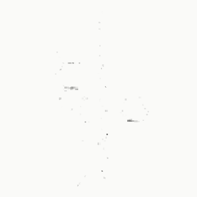 CC(C)(C)OC(=O)Nc1ccc2c(c1)C(c1ccccc1)N(CCCCCCN)c1cc(NC(=O)OC(C)(C)C)ccc1-2